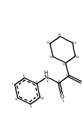 C=C(C(=O)Nc1ccccc1)C1CCCCC1